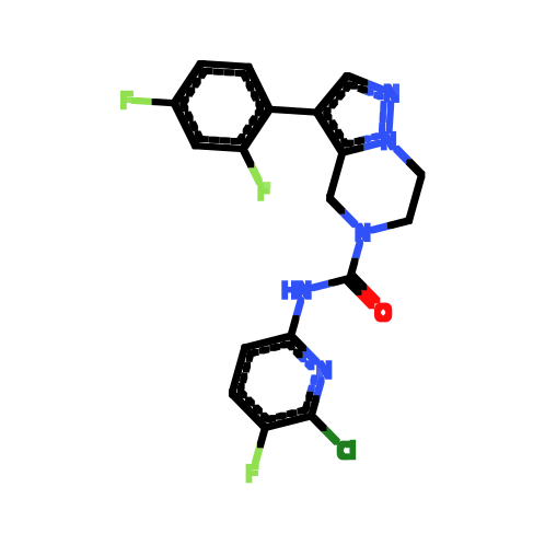 O=C(Nc1ccc(F)c(Cl)n1)N1CCn2ncc(-c3ccc(F)cc3F)c2C1